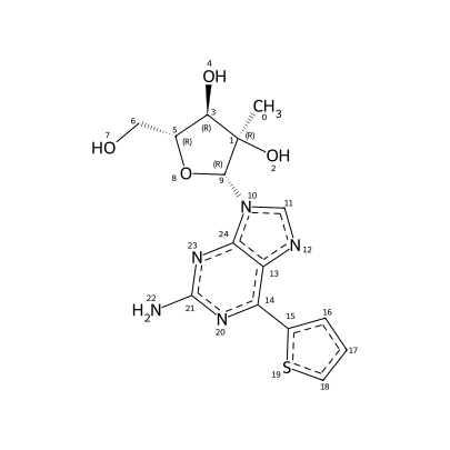 C[C@@]1(O)[C@H](O)[C@@H](CO)O[C@H]1n1cnc2c(-c3cccs3)nc(N)nc21